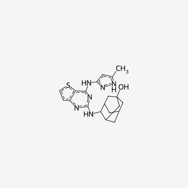 Cc1cc(Nc2nc(NC3C4CC5CC3CC(O)(C5)C4)nc3ccsc23)n[nH]1